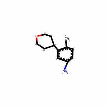 Cc1ccc(N)cc1C1[CH]COCC1